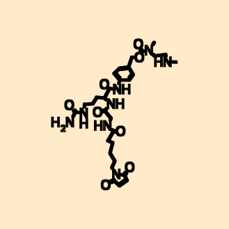 CNCCN(C)C(=O)OCc1ccc(NC(=O)C(CCCNC(N)=O)NC(=O)CNC(=O)CCCCCN2C(=O)C=CC2=O)cc1